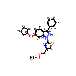 CCOOCc1csc(-n2nc(-c3ccccc3)c3ccc(OC4CCCC4)cc32)n1